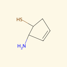 NC1C=CCC1S